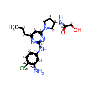 CCCc1cc(N2CC[C@H](NC(=O)CO)C2)nc(Nc2ccc(Cl)c(N)c2)n1